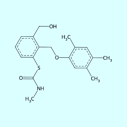 CNC(=O)Sc1cccc(CO)c1COc1cc(C)c(C)cc1C